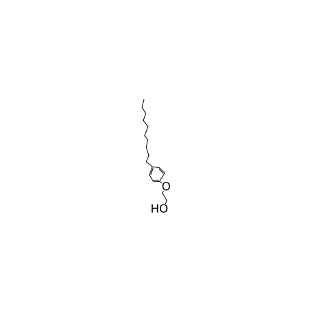 CCCCCCCCCCc1ccc(OCCO)cc1